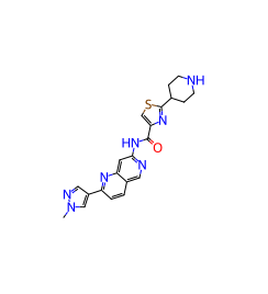 Cn1cc(-c2ccc3cnc(NC(=O)c4csc(C5CCNCC5)n4)cc3n2)cn1